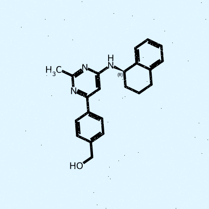 Cc1nc(N[C@@H]2CCCc3ccccc32)cc(-c2ccc(CO)cc2)n1